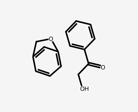 O=C(CO)c1ccccc1.c1cc2cc(c1)OC2